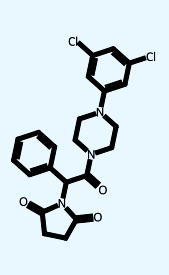 O=C(C(c1ccccc1)N1C(=O)CCC1=O)N1CCN(c2cc(Cl)cc(Cl)c2)CC1